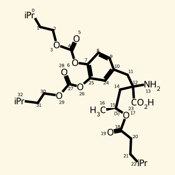 CC(C)CCOC(=O)Oc1ccc(CC(N)(C[C@H](C)OC(=O)CCC(C)C)C(=O)O)cc1OC(=O)OCCC(C)C